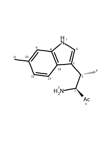 CC(=O)[C@@H](N)[C@@H](C)c1c[nH]c2cc(C)ccc12